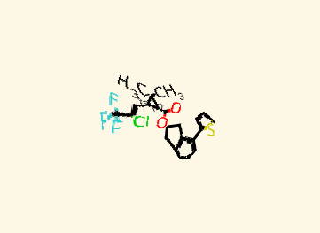 CC1(C)[C@H](C=C(Cl)C(F)(F)F)[C@@H]1C(=O)OC1Cc2cccc(-c3cccs3)c2C1